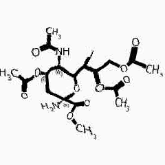 COC(=O)[C@@]1(N)C[C@@H](OC(C)=O)[C@@H](NC(C)=O)C(C(I)C(COC(C)=O)OC(C)=O)O1